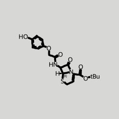 CC(C)(C)OC(=O)C1=CCS[C@@H]2C(NC(=O)COc3ccc(O)cc3)C(=O)N12